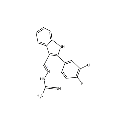 N=C(N)N/N=C/c1c(-c2ccc(F)c(Cl)c2)[nH]c2ccccc12